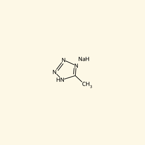 Cc1nnn[nH]1.[NaH]